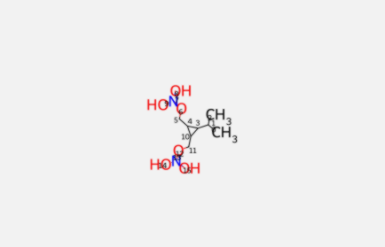 CC(C)C1C(CON(O)O)C1CON(O)O